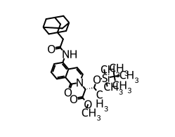 COC(=O)[C@@H](C(C)O[Si](C)(C)C(C)(C)C)n1ccc2c(NC(=O)CC34CC5CC(CC(C5)C3)C4)cccc2c1=O